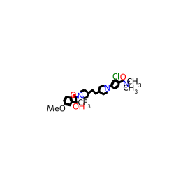 COc1cccc(C(O)(C(=O)N2CCC(CCC3CCN(c4ccc(C(=O)N(C)C)c(Cl)c4)CC3)CC2)C(F)(F)F)c1